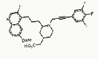 COc1ccc2ncc(F)c(CCCC3CC(CC(=O)O)CCN3CC#Cc3cc(F)c(F)c(F)c3)c2c1